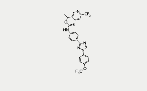 CC(OC(=S)Nc1ccc(-c2ncn(-c3ccc(OC(F)(F)F)cc3)n2)cc1)c1ccc(C(F)(F)F)nc1